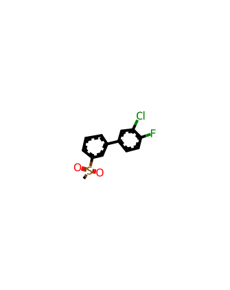 CS(=O)(=O)c1cccc(-c2ccc(F)c(Cl)c2)c1